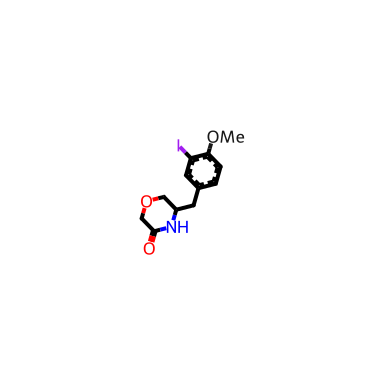 COc1ccc(CC2COCC(=O)N2)cc1I